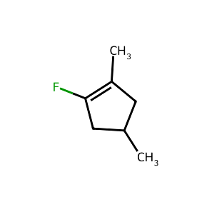 CC1=C(F)CC(C)C1